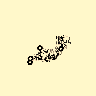 CNC(=O)OC(C)C(=O)NC(C(=O)N1C[C@@H](Oc2cnc(N3CCN(CCOc4cc5ncnc(Nc6n[nH]c(C)c6C)c5cc4S(=O)(=O)C(C)(C)C)CC3)nc2)C[C@H]1C(=O)N[C@@H]1CCCc2ccccc21)C1CCCCC1